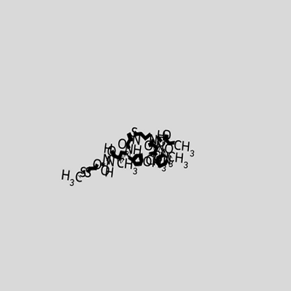 CCCC(=O)OCN(CCCc1nc(C(=O)N[C@@H](Cc2ccc(O)cc2)C[C@H](C)C(=O)NNC(=O)OCCSSC)cs1)C(=O)[C@@H](NC(=O)[C@H]1CCCCN1C)C(C)CC